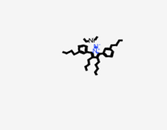 CCCCCC1=C(c2cccc(CCCC)c2)[N+](=[N-])C(c2cccc(CCCC)c2)=C1CCCC.C[CH2][Ni][CH2]C